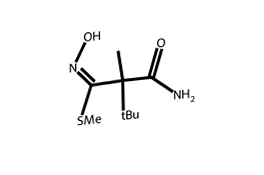 CSC(=NO)C(C)(C(N)=O)C(C)(C)C